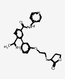 CC(N)c1ccc(C(=O)Nc2ccncc2)cc1-c1cccc(OCCSC2CCOC2=O)c1